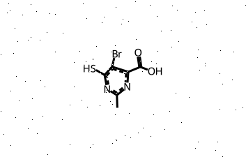 Cc1nc(S)c(Br)c(C(=O)O)n1